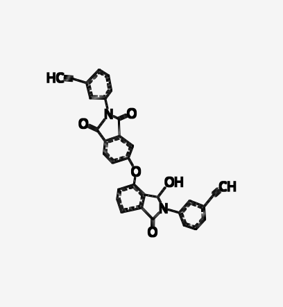 C#Cc1cccc(N2C(=O)c3ccc(Oc4cccc5c4C(O)N(c4cccc(C#C)c4)C5=O)cc3C2=O)c1